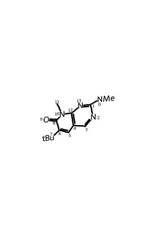 CNc1ncc2cc(C(C)(C)C)c(=O)n(C)c2n1